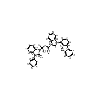 BC(C)(CC(C)N1CN(c2cccc3c2oc2ccccc23)c2ccccc21)N1c2ccccc2N(c2ccccc2)C1C